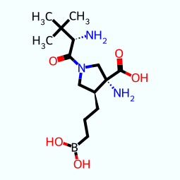 CC(C)(C)[C@H](N)C(=O)N1C[C@H](CCCB(O)O)[C@](N)(C(=O)O)C1